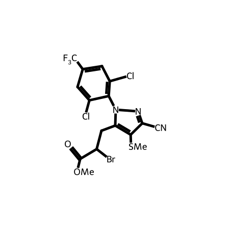 COC(=O)C(Br)Cc1c(SC)c(C#N)nn1-c1c(Cl)cc(C(F)(F)F)cc1Cl